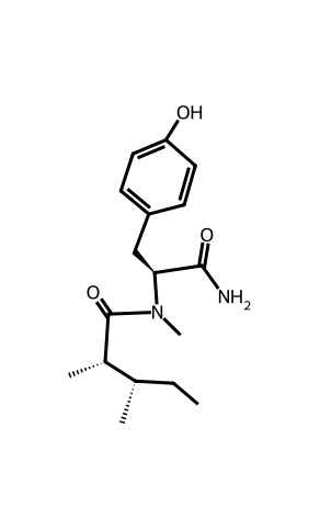 CC[C@H](C)[C@H](C)C(=O)N(C)[C@@H](Cc1ccc(O)cc1)C(N)=O